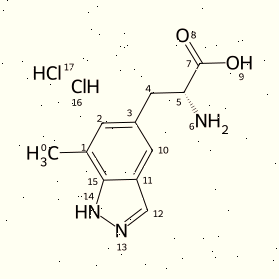 Cc1cc(C[C@@H](N)C(=O)O)cc2cn[nH]c12.Cl.Cl